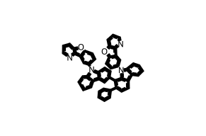 c1ccc(-c2ccc3c4ccccc4n(-c4ccc5oc6cccnc6c5c4)c3c2-c2ccc3c(c2)c2ccccc2n3-c2ccc3oc4cccnc4c3c2)cc1